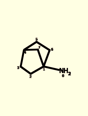 NC12CCC(CC1)C2